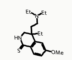 CCN(CC)CCC1(CC)CNC(=S)c2ccc(OC)cc21